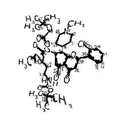 CN1CC[C@H](c2c(OC(=O)N(C)CCNC(=O)OC(C)(C)C)cc(O)c3c(=O)cc(-c4ccccc4Cl)oc23)[C@H](OC(=O)OC(C)(C)C)C1